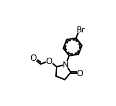 O=COC1CCC(=O)N1c1ccc(Br)cc1